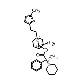 Cc1ccc(CC[N+]23CCC(CC2)[C@@H](OC(=O)[C@](C)(c2ccccc2)N2CCCCC2)C3)s1.[Br-]